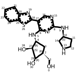 OC[C@H]1C[C@@H](Nc2nc(N[C@H]3CCNC3)ncc2-c2nc3ccccc3s2)[C@H](O)[C@@H]1O